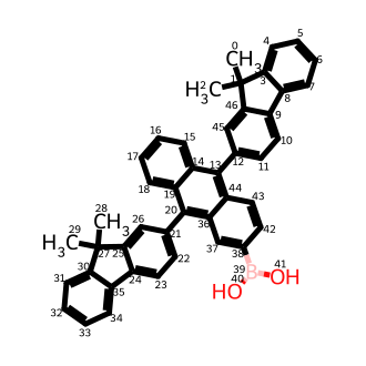 CC1(C)c2ccccc2-c2ccc(-c3c4ccccc4c(-c4ccc5c(c4)C(C)(C)c4ccccc4-5)c4cc(B(O)O)ccc34)cc21